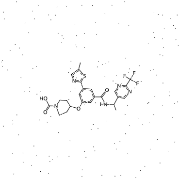 Cc1cnc(-c2cc(OC3CCN(C(=O)O)CC3)cc(C(=O)NC(C)c3cnc(C(F)(F)F)nc3)c2)s1